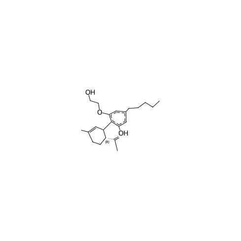 C=C(C)[C@@H]1CCC(C)=CC1c1c(O)cc(CCCCC)cc1OCCO